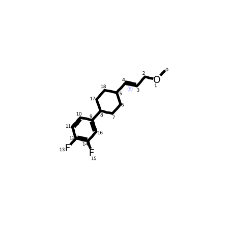 COC/C=C/C1CCC(c2ccc(F)c(F)c2)CC1